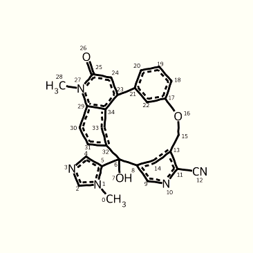 Cn1cncc1C1(O)c2cnc(C#N)c(c2)COc2cccc(c2)-c2cc(=O)n(C)c3ccc1cc23